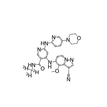 [2H]C([2H])([2H])NC(=O)c1cnc(Nc2ccc(N3CCOCC3)cn2)cc1Nc1ccn2ncc(C#N)c2c1OC